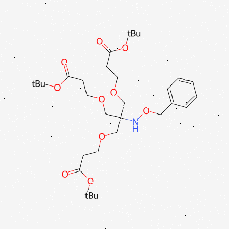 CC(C)(C)OC(=O)CCOCC(COCCC(=O)OC(C)(C)C)(COCCC(=O)OC(C)(C)C)NOCc1ccccc1